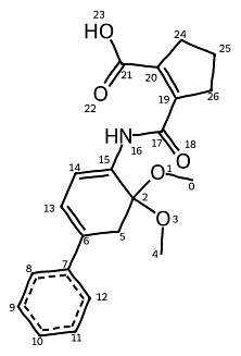 COC1(OC)CC(c2ccccc2)=CC=C1NC(=O)C1=C(C(=O)O)CCC1